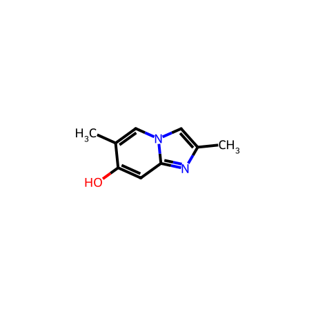 Cc1cn2cc(C)c(O)cc2n1